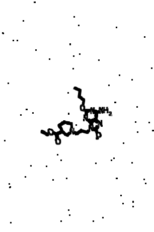 CCCCOc1nc(N)c2nc(OC)n(CCCN3CCCC(C(=O)OCC)C3)c2n1